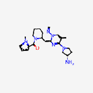 C=NN1C=C(C)C(N2CC[C@H](N)C2)=N/C1=C/C1CCCCN1C(=O)c1cccn1C